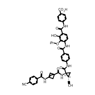 C#C[C@H]1C[C@@]1(NC(=O)C12CC(NC(=O)c3ccc(C#N)cc3)(C1)C2)C(=O)Nc1ccc(C(=O)Nc2ccc(C(=O)Nc3ccc(C(=O)O)cc3)c(O)c2OC(C)C)cc1